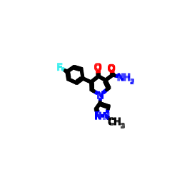 Cn1cc(-n2cc(C(N)=O)c(=O)c(-c3ccc(F)cc3)c2)cn1